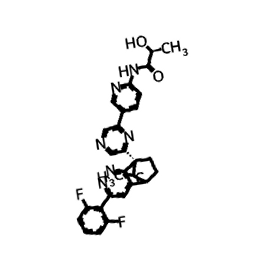 C[C@H](O)C(=O)Nc1ccc(-c2cncc([C@]34CCC5(CC53C)c3cc(-c5c(F)cccc5F)nnc34)n2)cn1